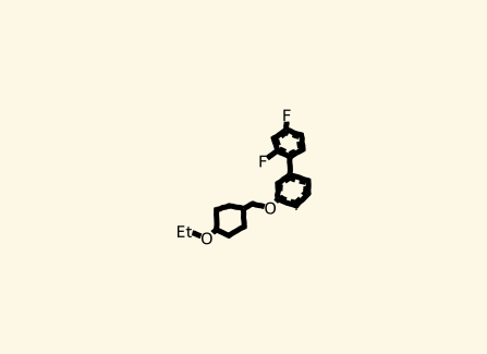 CCOC1CCC(COc2[c]ccc(-c3ccc(F)cc3F)c2)CC1